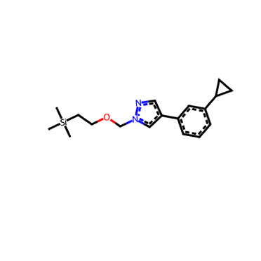 C[Si](C)(C)CCOCn1cc(-c2cccc(C3CC3)c2)cn1